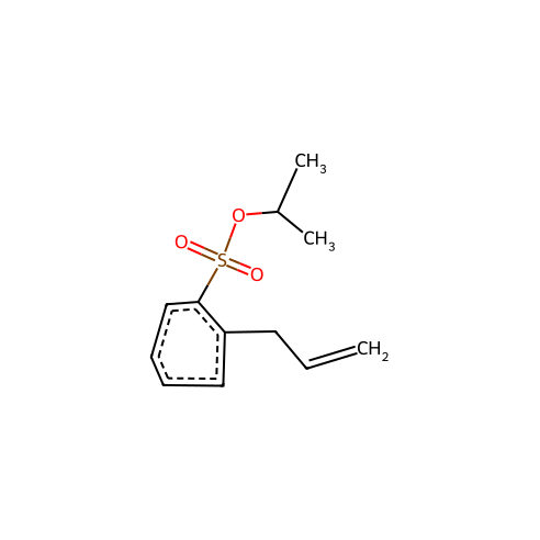 C=CCc1ccccc1S(=O)(=O)OC(C)C